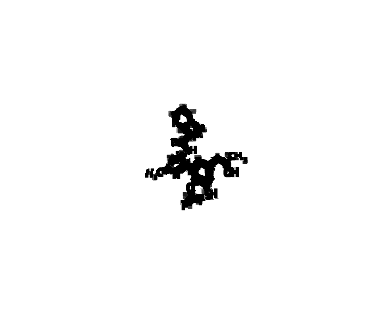 C[C@H](O)Cc1cc(S)c(OC(F)F)c(-c2nn(C)cc2NC(=O)c2cnn3cccnc23)c1